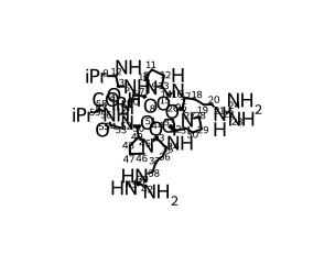 CC(C)C(N)C(=O)NC(C(=O)N1CCCC1C(=O)NC(CCCNC(=N)N)C(=O)N1CCCC1C(=O)NC(CCCNC(=N)N)C(=O)N1CCCC1C(=O)NCC(=O)NC(C(=O)O)C(C)C)C(C)C